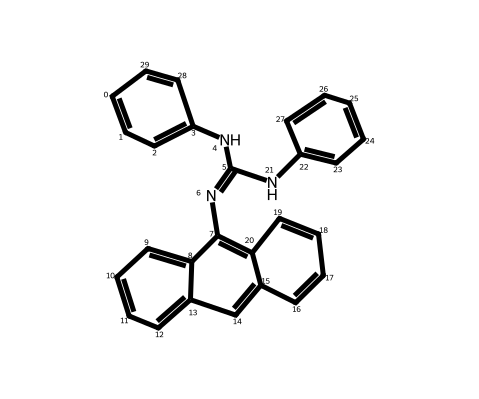 c1ccc(NC(=Nc2c3ccccc3cc3ccccc23)Nc2ccccc2)cc1